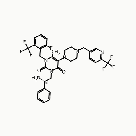 Cc1c(N2CCN(Cc3ccc(C(F)(F)F)nc3)CC2)c(=O)n(C[C@@H](N)c2ccccc2)c(=O)n1Cc1c(F)cccc1C(F)(F)F